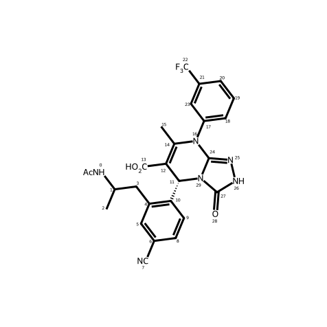 CC(=O)NC(C)Cc1cc(C#N)ccc1[C@@H]1C(C(=O)O)=C(C)N(c2cccc(C(F)(F)F)c2)c2n[nH]c(=O)n21